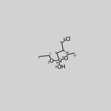 CCO[Si](O)(CCCCl)OCC